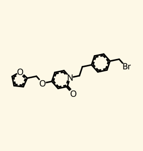 O=c1cc(OCc2ccco2)ccn1CCc1ccc(CBr)cc1